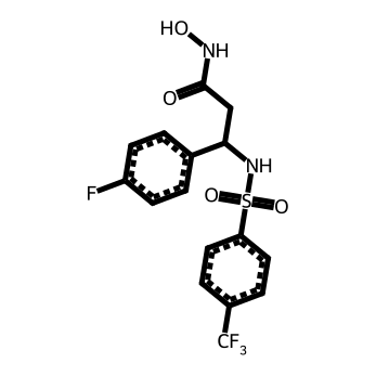 O=C(CC(NS(=O)(=O)c1ccc(C(F)(F)F)cc1)c1ccc(F)cc1)NO